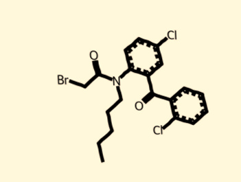 CCCCCN(C(=O)CBr)c1ccc(Cl)cc1C(=O)c1ccccc1Cl